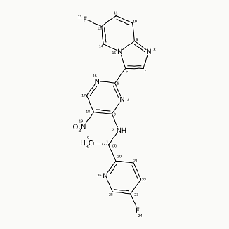 C[C@H](Nc1nc(-c2cnc3ccc(F)cn23)ncc1[N+](=O)[O-])c1ccc(F)cn1